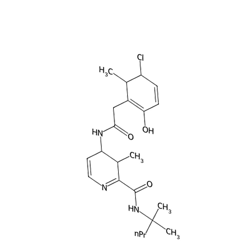 CCCC(C)(C)NC(=O)C1=NC=CC(NC(=O)CC2=C(O)C=CC(Cl)C2C)C1C